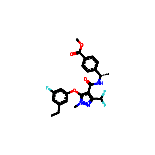 CCc1cc(F)cc(Oc2c(C(=O)N[C@@H](C)c3ccc(C(=O)OC)cc3)c(C(F)F)nn2C)c1